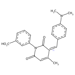 CC1=CC(=O)N(c2cccc(C(=O)O)c2)C(=O)/C1=C\c1ccc(N(C)C)cc1